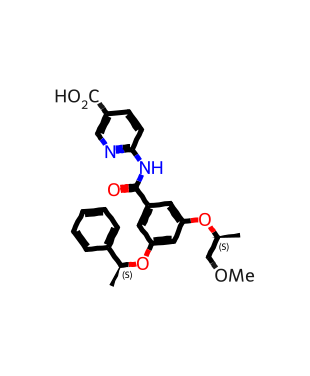 COC[C@H](C)Oc1cc(O[C@@H](C)c2ccccc2)cc(C(=O)Nc2ccc(C(=O)O)cn2)c1